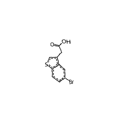 O=C(O)Cc1csc2ccc(Br)cc12